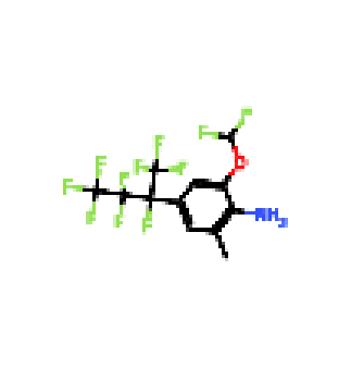 Cc1cc(C(F)(C(F)(F)F)C(F)(F)C(F)(F)F)cc(OC(F)F)c1N